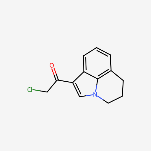 O=C(CCl)c1cn2c3c(cccc13)CCC2